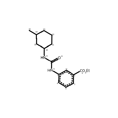 CCOC(=O)c1cccc(NC(=O)NC2CCCC(C)C2)c1